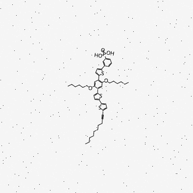 CCCCCCCCC#Cc1ccc(-c2ccc(-c3cc(OCCCCCC)c(-c4ccc(-c5cccc(P(=O)(O)O)c5)s4)cc3OCCCCCC)s2)s1